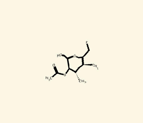 CC(=O)OC1C(O)OC(CF)[C@@H](C)[C@@H]1C